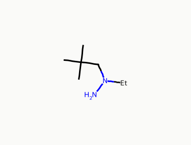 CCN(N)CC(C)(C)C